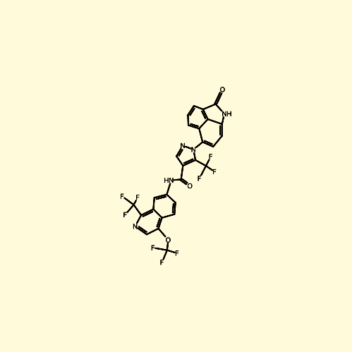 O=C(Nc1ccc2c(OC(F)(F)F)cnc(C(F)(F)F)c2c1)c1cnn(-c2ccc3c4c(cccc24)C(=O)N3)c1C(F)(F)F